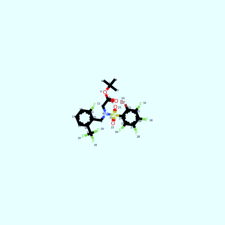 CC(C)(C)OC(=O)CN(Cc1c(F)cccc1C(F)(F)F)S(=O)(=O)c1c(F)c(F)c(F)c(F)c1Br